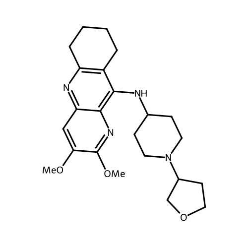 COc1cc2nc3c(c(NC4CCN(C5CCOC5)CC4)c2nc1OC)CCCC3